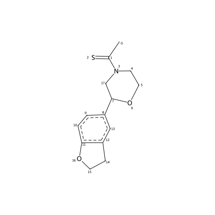 CC(=S)N1CCOC(c2ccc3c(c2)CCO3)C1